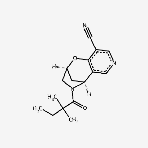 CCC(C)(C)C(=O)N1C[C@@H]2C[C@H]1c1cncc(C#N)c1O2